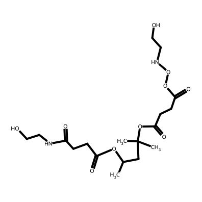 CC(CC(C)(C)OC(=O)CCC(=O)OONCCO)OC(=O)CCC(=O)NCCO